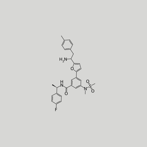 Cc1ccc(CC(N)c2ccc(-c3cc(C(=O)N[C@H](C)c4ccc(F)cc4)cc(N(C)S(C)(=O)=O)c3)o2)cc1